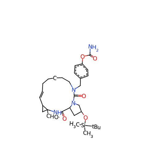 CC(C)(C)[Si](C)(C)OC1CC2C(=O)NC3([C]=O)CC3/C=C/CCCCCN(Cc3ccc(OC(N)=O)cc3)C(=O)N2C1